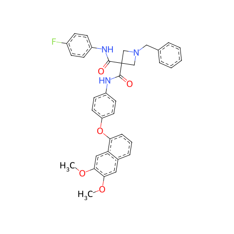 COc1cc2cccc(Oc3ccc(NC(=O)C4(C(=O)Nc5ccc(F)cc5)CN(Cc5ccccc5)C4)cc3)c2cc1OC